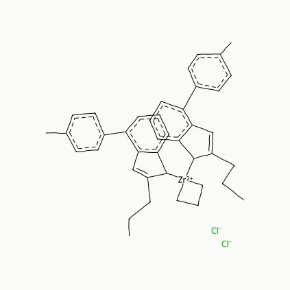 CCCC1=Cc2c(-c3ccc(C)cc3)cccc2[CH]1[Zr+2]1([CH]2C(CCC)=Cc3c(-c4ccc(C)cc4)cccc32)[CH2]C[CH2]1.[Cl-].[Cl-]